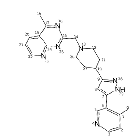 Cc1ccncc1-c1cc(C2CCN(Cc3nc(C)c4cccnc4n3)CC2)n[nH]1